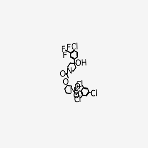 O=C(COC1CCCN(S(=O)(=O)c2c(Cl)cc(Cl)cc2Cl)C1)N1CCC(O)(c2ccc(Cl)c(C(F)(F)F)c2)CC1